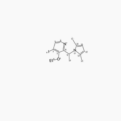 CCOc1c(I)ccnc1C(C)n1c(C)ccc1C